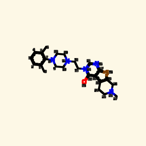 Cc1cccc(C)c1N1CCN(CCn2cnc3sc4c(c3c2=O)CCN(C)C4)CC1